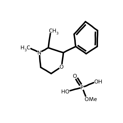 CC1C(c2ccccc2)OCCN1C.COP(=O)(O)O